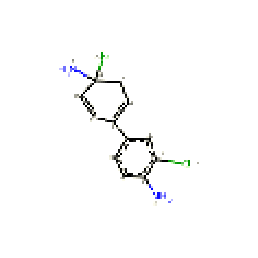 Nc1ccc(C2=CCC(N)(Br)C=C2)cc1Cl